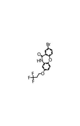 O=C1Nc2cc(OCCC(F)(F)F)ccc2Oc2ccc(Br)cc21